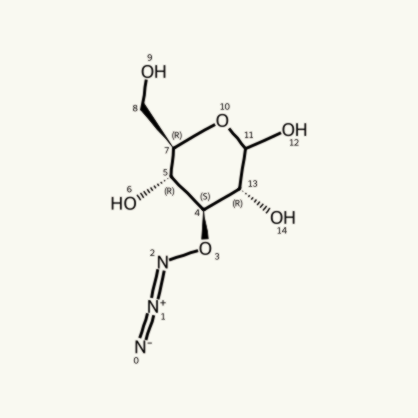 [N-]=[N+]=NO[C@H]1[C@H](O)[C@@H](CO)OC(O)[C@@H]1O